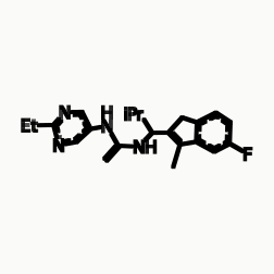 C=C(Nc1cnc(CC)nc1)NC(C1=C(C)c2cc(F)ccc2C1)C(C)C